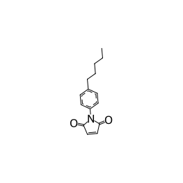 CCCCCc1ccc(N2C(=O)C=CC2=O)cc1